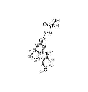 COc1ccc(N(C)c2nc(OCCCC(=O)NO)nc3ccccc23)cc1